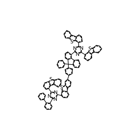 c1ccc(-c2ccccc2-c2nc(-c3cccc4c3sc3cc(-c5ccc(C6(c7ccccc7)c7ccccc7-c7c(-c8nc(-c9cccc%10c9sc9ccccc9%10)nc(-c9cccc%10c9sc9ccccc9%10)n8)cccc76)cc5)ccc34)nc(-c3cccc4sc5ccccc5c34)n2)cc1